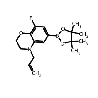 C=CCN1CCOc2c(F)cc(B3OC(C)(C)C(C)(C)O3)cc21